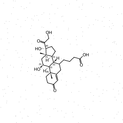 C[C@]12CCC(=O)C=C1CC(CCCC(=O)O)[C@@H]1[C@@H]2[C@@H](O)C[C@@]2(C)[C@H]1CC[C@]2(O)C(=O)CO